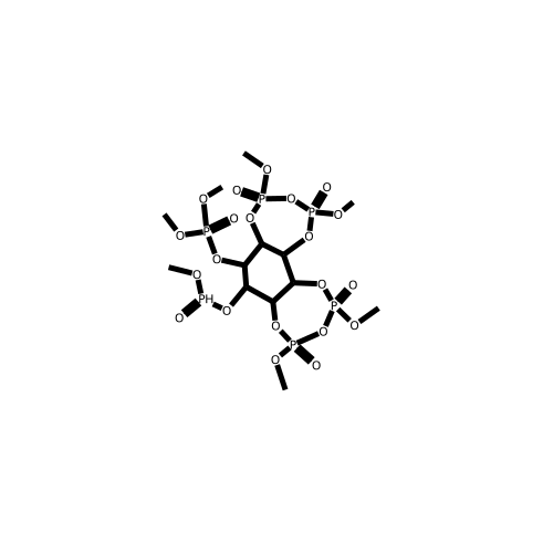 CO[PH](=O)OC1C(OP(=O)(OC)OC)C2OP(=O)(OC)OP(=O)(OC)OC2C2OP(=O)(OC)OP(=O)(OC)OC12